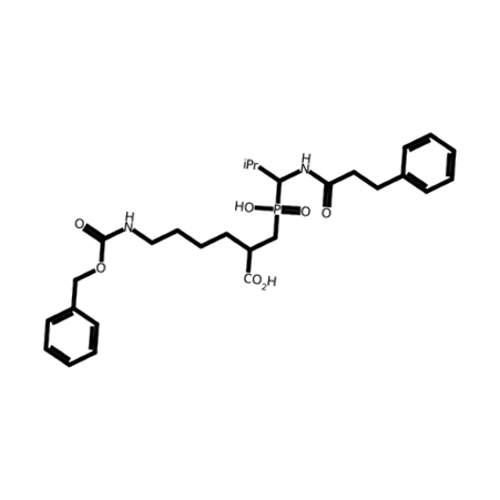 CC(C)C(NC(=O)CCc1ccccc1)P(=O)(O)CC(CCCCNC(=O)OCc1ccccc1)C(=O)O